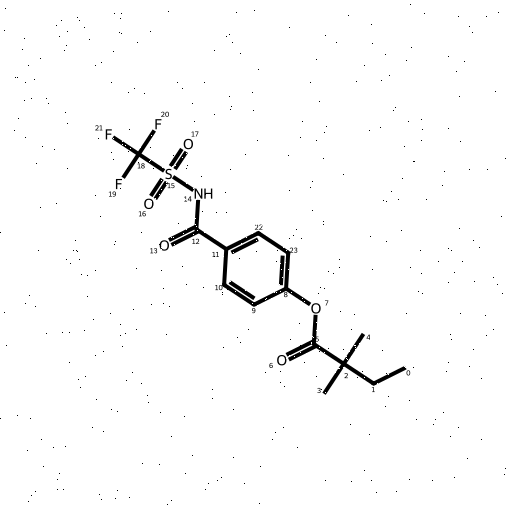 CCC(C)(C)C(=O)Oc1ccc(C(=O)NS(=O)(=O)C(F)(F)F)cc1